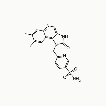 Cc1cc2ncc3[nH]c(=O)n(Cc4ccc(S(N)(=O)=O)cn4)c3c2cc1C